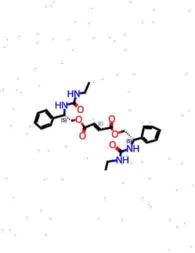 CCNC(=O)N[C@H](COC(=O)/C=C/C(=O)OC[C@@H](NC(=O)NCC)c1ccccc1)c1ccccc1